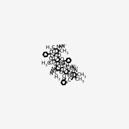 CCC1O[C@H](O[C@@H]2C(C)O[C@@H](O[C@@H]3C(CC)O[C@H](O[C@@H]4C(C(=O)OC)O[C@@H](O[C@@H]5C(COC(=O)c6ccccc6)O[C@H](C)C(N=[N+]=[N-])[C@H]5C)C(OC(=O)c5ccccc5)[C@H]4C)C(N=[N+]=[N-])[C@H]3C)C(OCc3ccccc3)[C@H]2C)C(N=[N+]=[N-])[C@@H](C)[C@@H]1C